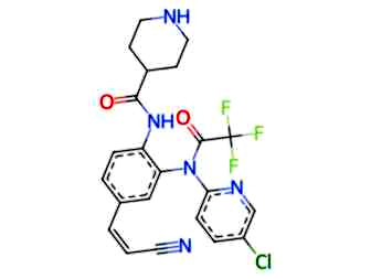 N#C/C=C\c1ccc(NC(=O)C2CCNCC2)c(N(C(=O)C(F)(F)F)c2ccc(Cl)cn2)c1